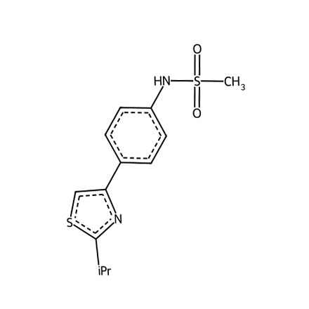 CC(C)c1nc(-c2ccc(NS(C)(=O)=O)cc2)cs1